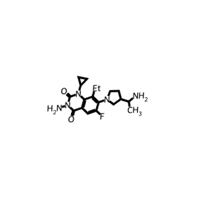 CCc1c(N2CCC(C(C)N)C2)c(F)cc2c(=O)n(N)c(=O)n(C3CC3)c12